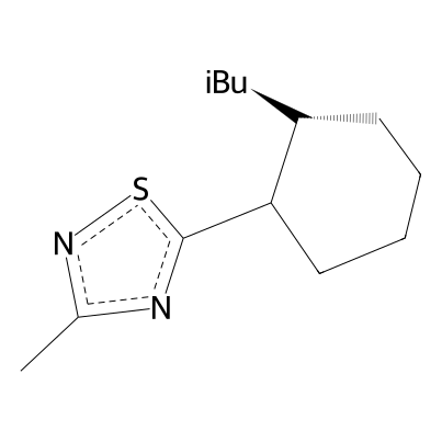 CC[C@H](C)[C@@H]1CCCCC1c1nc(C)ns1